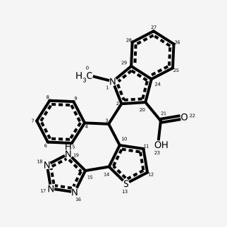 Cn1c(C(c2ccccc2)c2ccsc2-c2nnn[nH]2)c(C(=O)O)c2ccccc21